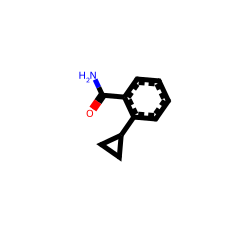 NC(=O)c1ccccc1C1CC1